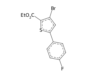 CCOC(=O)c1sc(-c2ccc(F)cc2)cc1Br